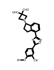 CC(C)Oc1ccc(-c2nc(-c3cccc4c3CC[C@H]4N3CC(C=O)(C=O)C3)no2)cc1C#N